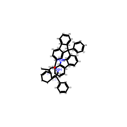 C/C1=C2/C=CCC/C2=C(\c2ccccc2)CNC(c2ccc3c(c2)C(c2ccccc2)(c2cccc4c5c([nH]c24)CCC=C5)c2ccccc2-3)C1